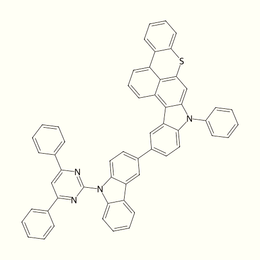 c1ccc(-c2cc(-c3ccccc3)nc(-n3c4ccccc4c4cc(-c5ccc6c(c5)c5c7cccc8c7c(cc5n6-c5ccccc5)Sc5ccccc5-8)ccc43)n2)cc1